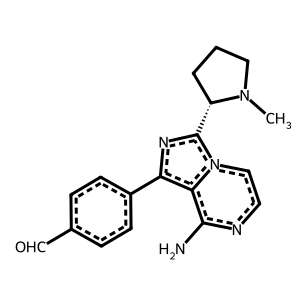 CN1CCC[C@H]1c1nc(-c2ccc(C=O)cc2)c2c(N)nccn12